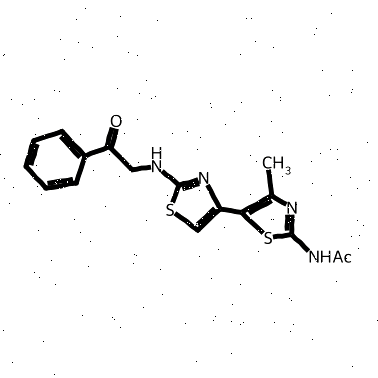 CC(=O)Nc1nc(C)c(-c2csc(NCC(=O)c3ccccc3)n2)s1